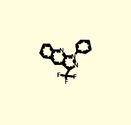 FC(F)(F)c1nn(-c2ccccc2)c2nc3ccccc3cc12